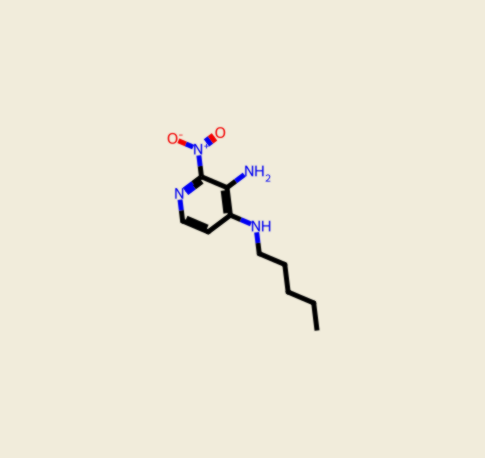 CCCCCNc1ccnc([N+](=O)[O-])c1N